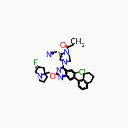 C=CC(=O)N1CCN(c2nc(OCC34CCCN3C[C@H](F)C4)nc3cc(-c4cccc5c4CCCC5)c(Cl)cc23)C[C@@H]1CC#N